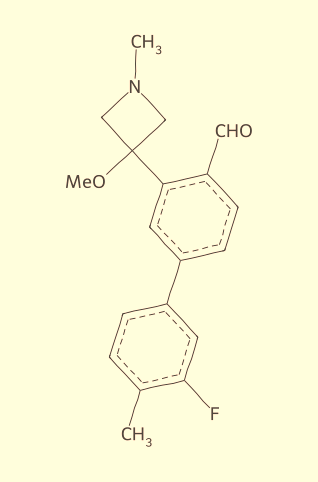 COC1(c2cc(-c3ccc(C)c(F)c3)ccc2C=O)CN(C)C1